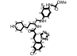 COC(=O)Nc1ccc(NC[C@H](CCC2CCNCC2)NC(=O)/C=C/c2cc(Cl)ccc2-n2cnnn2)cc1F